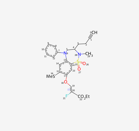 C#CCCC1CN(c2ccccc2)c2cc(SC)c(O/C=C(\F)C(=O)OCC)cc2S(=O)(=O)N1C